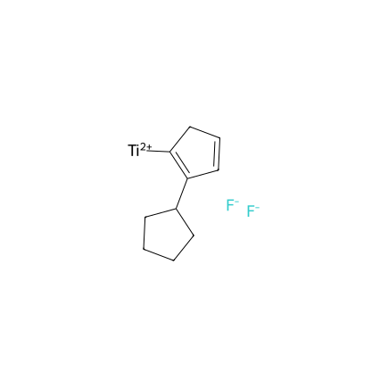 [F-].[F-].[Ti+2][C]1=C(C2CCCC2)C=CC1